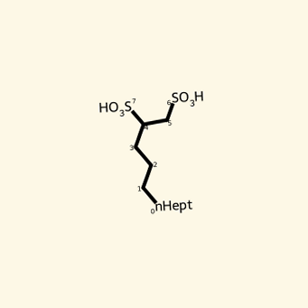 CCCCCCCCCCC(CS(=O)(=O)O)S(=O)(=O)O